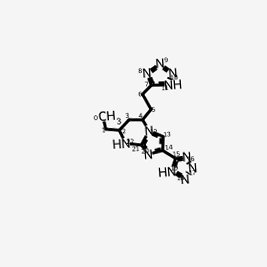 CCC1CC(CCc2nnn[nH]2)n2cc(-c3nnn[nH]3)nc2N1